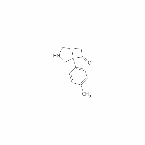 Cc1ccc(C23CNCC2CC3=O)cc1